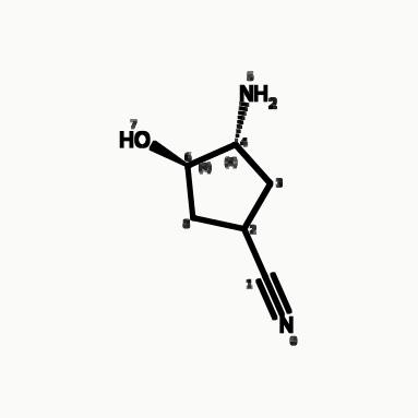 N#CC1C[C@@H](N)[C@H](O)C1